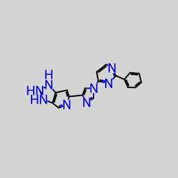 c1ccc(-c2nccc(-n3cnc(-c4cc5c(cn4)NNN5)c3)n2)cc1